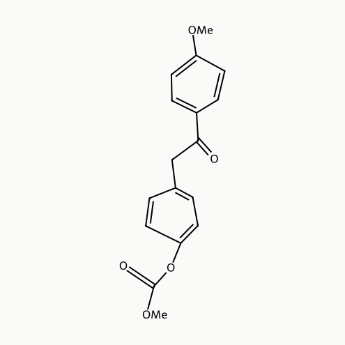 COC(=O)Oc1ccc(CC(=O)c2ccc(OC)cc2)cc1